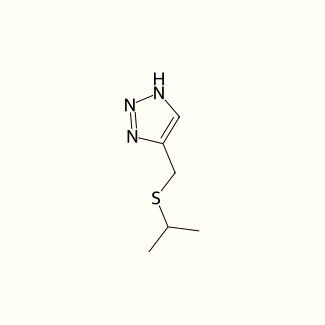 CC(C)SCc1c[nH]nn1